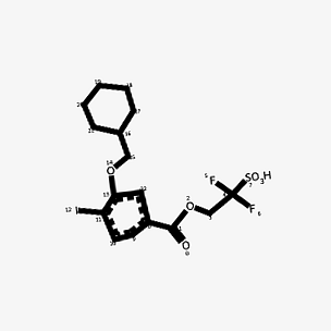 O=C(OCC(F)(F)S(=O)(=O)O)c1ccc(I)c(OCC2CCCCC2)c1